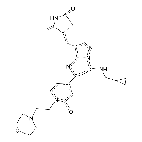 C=C1NC(=O)C/C1=C\c1cnn2c(NCC3CC3)cc(-c3ccn(CCN4CCOCC4)c(=O)c3)nc12